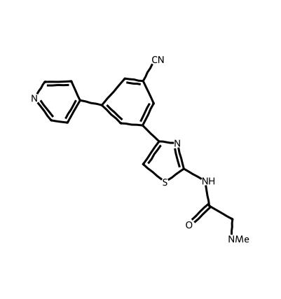 CNCC(=O)Nc1nc(-c2cc(C#N)cc(-c3ccncc3)c2)cs1